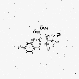 CCCC(N=C(Cc1ccc(Br)cc1F)N(CC)CC1(CC#N)CC1)C(=O)OC